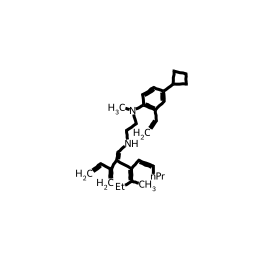 C=CC(=C)C(=C/NCCN(C)c1ccc(C2CCC2)cc1C=C)/C(/C=C\CCC)=C(/C)CC